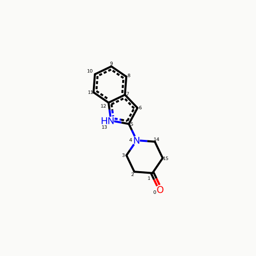 O=C1CCN(c2cc3ccccc3[nH]2)CC1